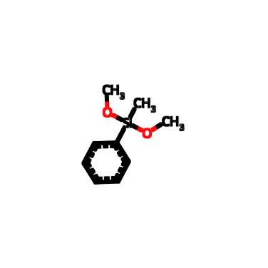 CO[Si](C)(OC)c1ccccc1